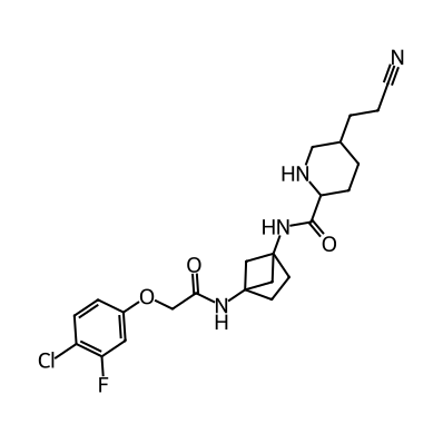 N#CCCC1CCC(C(=O)NC23CCC(NC(=O)COc4ccc(Cl)c(F)c4)(C2)C3)NC1